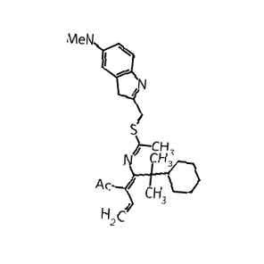 C=C/C(C(C)=O)=C(/N=C(\C)SCC1=Nc2ccc(NC)cc2C1)C(C)(C)C1CCCCC1